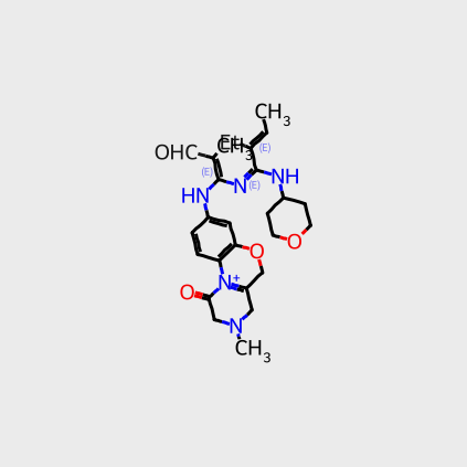 C/C=C(CC)/C(=N\C(Nc1ccc2c(c1)OCC1=[N+]2C(=O)CN(C)C1)=C(/C)C=O)NC1CCOCC1